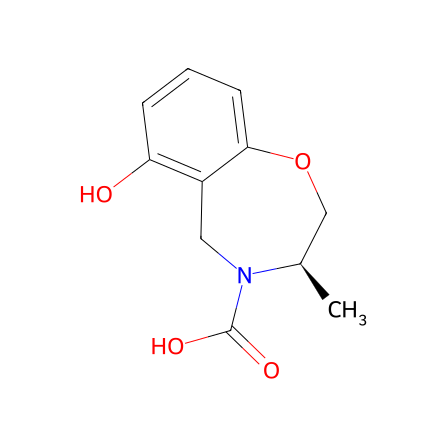 C[C@@H]1COc2cccc(O)c2CN1C(=O)O